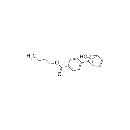 CCCCOC(=O)c1ccc(C2CC3C=CC2C3O)cc1